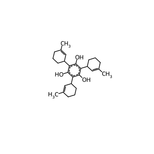 CC1=CC(c2c(O)c(C3C=C(C)CCC3)c(O)c(C3C=C(C)CCC3)c2O)CCC1